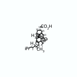 CC(C)CCC[C@@H](C)[C@H]1CC[C@H]2[C@@H]3C(=O)CC4C[C@@H](CC(=O)O)CC[C@]4(C)[C@H]3CC[C@]12C